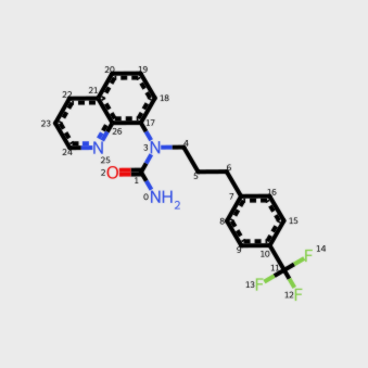 NC(=O)N(CCCc1ccc(C(F)(F)F)cc1)c1cccc2cccnc12